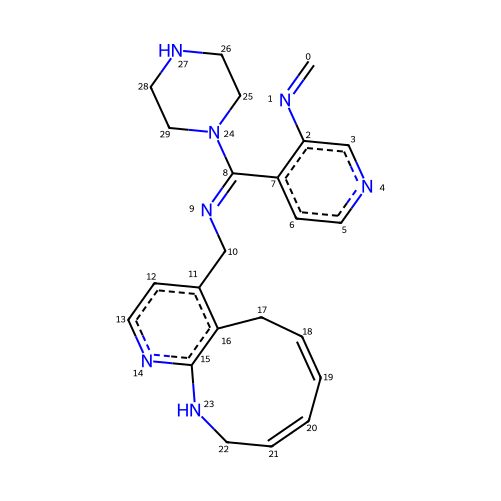 C=Nc1cnccc1/C(=N\Cc1ccnc2c1C/C=C\C=C/CN2)N1CCNCC1